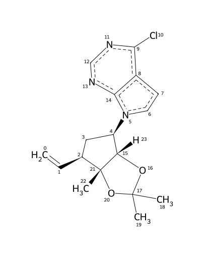 C=C[C@H]1C[C@@H](n2ccc3c(Cl)ncnc32)[C@@H]2OC(C)(C)O[C@]12C